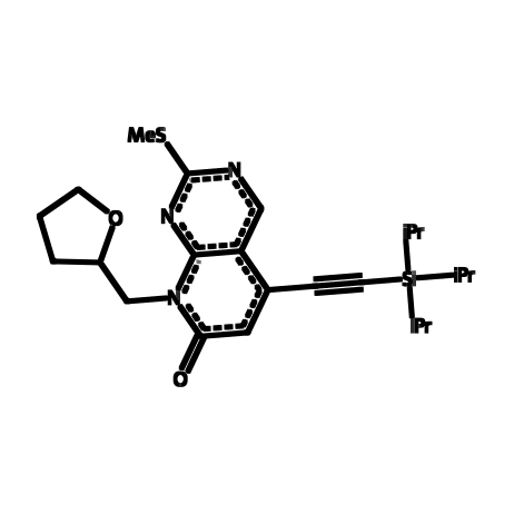 CSc1ncc2c(C#C[Si](C(C)C)(C(C)C)C(C)C)cc(=O)n(CC3CCCO3)c2n1